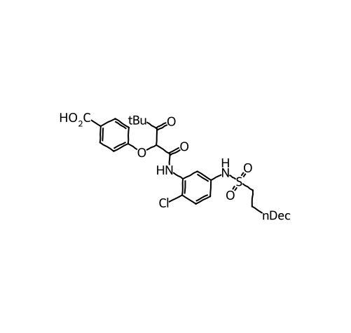 CCCCCCCCCCCCS(=O)(=O)Nc1ccc(Cl)c(NC(=O)C(Oc2ccc(C(=O)O)cc2)C(=O)C(C)(C)C)c1